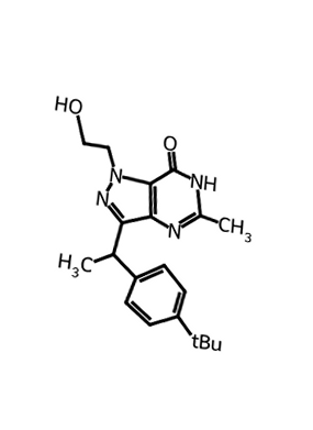 Cc1nc2c(C(C)c3ccc(C(C)(C)C)cc3)nn(CCO)c2c(=O)[nH]1